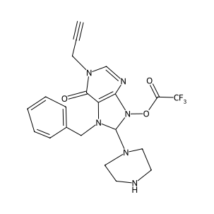 C#CCn1cnc2c(c1=O)N(Cc1ccccc1)C(N1CCNCC1)N2OC(=O)C(F)(F)F